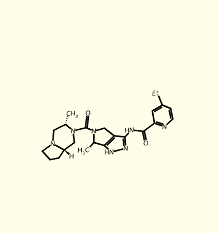 CCc1ccnc(C(=O)Nc2n[nH]c3c2CN(C(=O)N2C[C@@H]4CCCN4C[C@@H]2C)C3C)c1